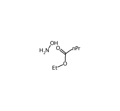 CCCC(=O)OCC.NO